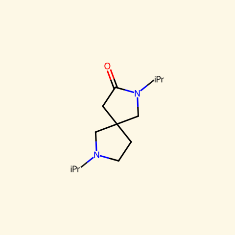 CC(C)N1CCC2(CC(=O)N(C(C)C)C2)C1